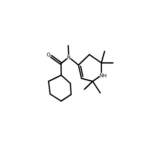 CN(C(=O)C1CCCCC1)C1=CC(C)(C)NC(C)(C)C1